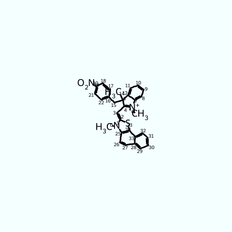 CN1/C(=C/C2=[N+](C)c3ccccc3C2(C)Cc2ccc([N+](=O)[O-])cc2)Sc2c1ccc1ccccc21